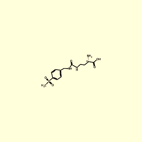 CS(=O)(=O)c1ccc(CNC(=O)NCC[C@H](N)C(=O)O)cc1